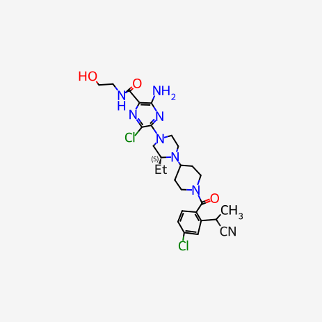 CC[C@H]1CN(c2nc(N)c(C(=O)NCCO)nc2Cl)CCN1C1CCN(C(=O)c2ccc(Cl)cc2C(C)C#N)CC1